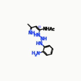 CC(=N)/C=C(\NNNc1ccccc1N)NC(C)=O